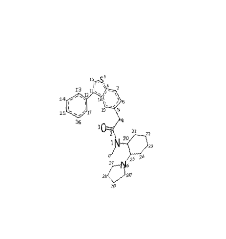 CN(C(=O)Cc1ccc2scc(-c3ccccc3)c2c1)C1CCCCC1N1CCCC1